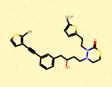 N#Cc1sccc1C#Cc1cccc(C[C@H](O)CCN2CCSC(=O)N2CCc2ccc(C(=O)O)s2)c1